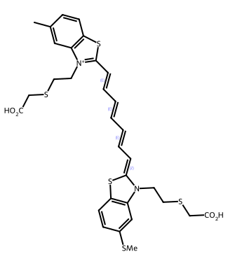 CSc1ccc2c(c1)N(CCSCC(=O)O)/C(=C/C=C/C=C/C=C/c1sc3ccc(C)cc3[n+]1CCSCC(=O)O)S2